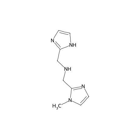 Cn1ccnc1CNCc1ncc[nH]1